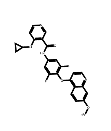 CCCOc1ccc2c(Oc3c(F)cc(NC(=O)c4cnccc4OC4CC4)cc3F)ccnc2c1